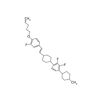 C=CCCCOc1ccc(/C=C/C2CCC(c3ccc(C4CCC(C)CC4)c(F)c3F)CC2)cc1F